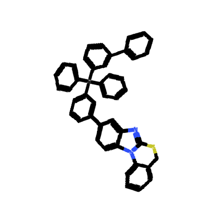 c1ccc(-c2cccc([Si](c3ccccc3)(c3ccccc3)c3cccc(-c4ccc5c(c4)nc4n5-c5ccccc5CS4)c3)c2)cc1